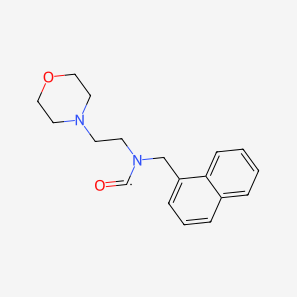 O=[C]N(CCN1CCOCC1)Cc1cccc2ccccc12